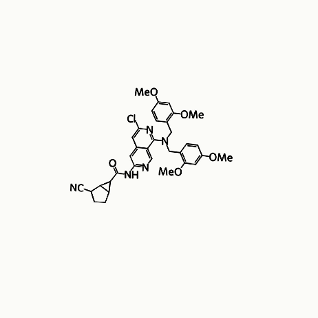 COc1ccc(CN(Cc2ccc(OC)cc2OC)c2nc(Cl)cc3cc(NC(=O)C4C5CCC(C#N)C54)ncc23)c(OC)c1